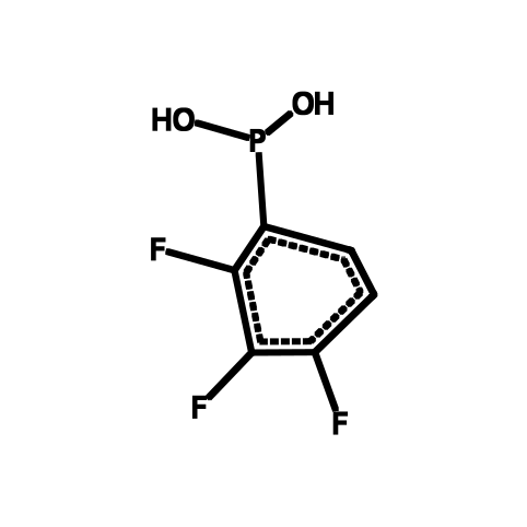 OP(O)c1ccc(F)c(F)c1F